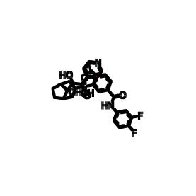 O=C(Nc1ccc(F)c(F)c1)c1ccc(Cl)c(S(=O)(=O)C2CC3CCC(C2)C3(O)C(O)C(O)c2ccncc2)c1